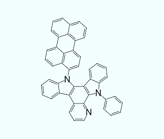 c1ccc(-n2c3ccccc3c3c2c2ncccc2c2c4ccccc4n(-c4ccc5c6cccc7cccc(c8cccc4c85)c76)c23)cc1